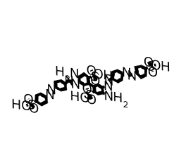 Nc1cc(S(=O)(=O)O)c(-c2cc(/N=N/c3ccc(N=Nc4ccc(S(=O)(=O)O)cc4)cc3)c(N)cc2S(=O)(=O)O)cc1N=Nc1ccc(N=Nc2ccc(S(=O)(=O)O)cc2)cc1